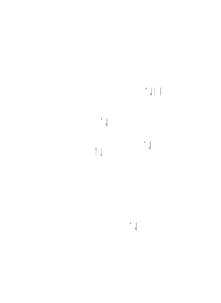 CC(C)n1nc(C#N)nc1N